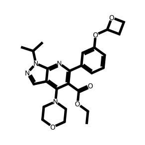 CCOC(=O)c1c(-c2cccc(OC3CCO3)c2)nc2c(cnn2C(C)C)c1N1CCOCC1